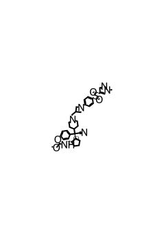 COC(=O)NC[C@H]1CCC[C@@H]1C(C#N)(c1ccccc1)C1CCN(CC2CN(c3ccc(S(=O)(=O)c4cnn(C)c4)cc3)C2)CC1